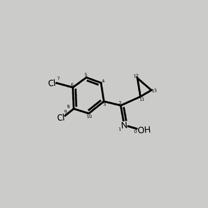 O/N=C(/c1ccc(Cl)c(Cl)c1)C1CC1